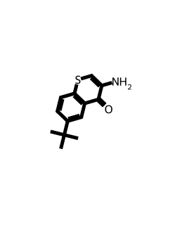 CC(C)(C)c1ccc2scc(N)c(=O)c2c1